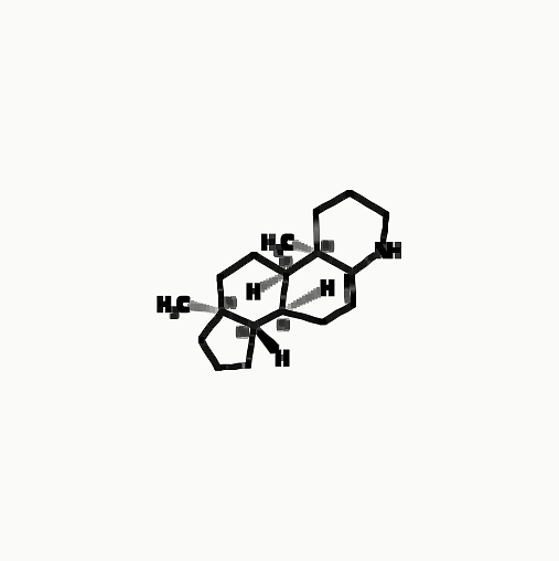 C[C@@]12CCC[C@H]1[C@@H]1CC=C3NCCC[C@]3(C)[C@@H]1CC2